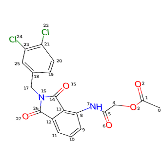 CC(=O)OCC(=O)Nc1cccc2c1C(=O)N(Cc1ccc(Cl)c(Cl)c1)C2=O